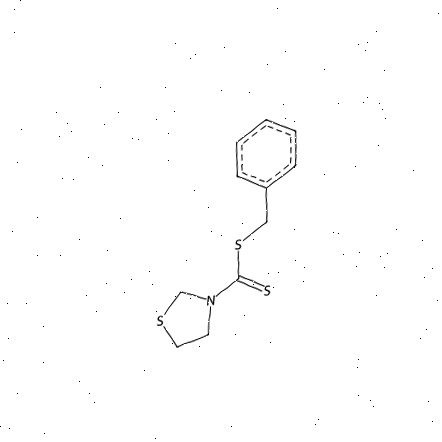 S=C(SCc1ccccc1)N1CCSC1